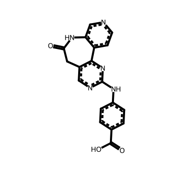 O=C1Cc2cnc(Nc3ccc(C(=O)O)cc3)nc2-c2ccncc2N1